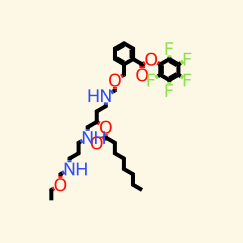 CCCCCCCC(=O)OC(CCNCOCc1ccccc1C(=O)Oc1c(F)c(F)c(F)c(F)c1F)CNCCCNCOCC